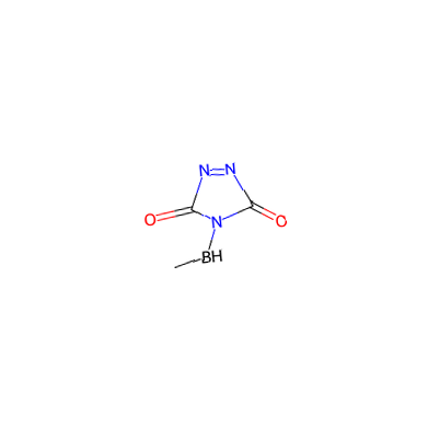 CBN1C(=O)N=NC1=O